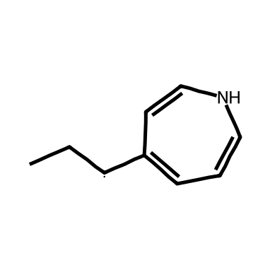 CC[CH]C1=CC=CNC=C1